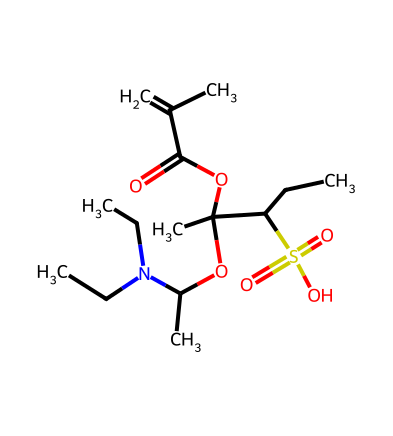 C=C(C)C(=O)OC(C)(OC(C)N(CC)CC)C(CC)S(=O)(=O)O